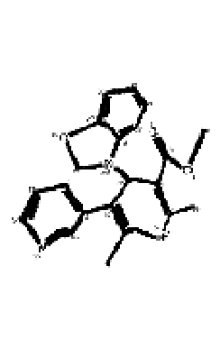 COC(=O)C1=C(C)NC(C)=C(c2cccnc2)C1N1COc2ccccc21